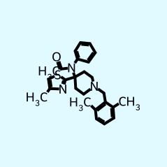 CC(=O)N(c1ccccc1)C1(c2nc(C)cs2)CCN(Cc2c(C)cccc2C)CC1